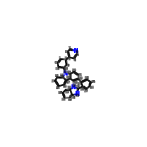 c1cc(-c2ccncc2)cc(-n2c3ccccc3c3c2ccc2c4ccccc4c4nc5ccccc5n4c23)c1